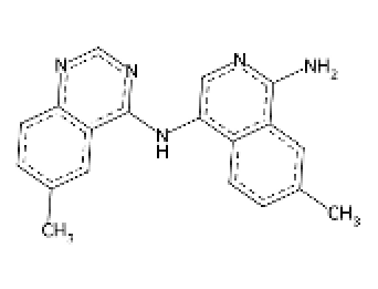 Cc1ccc2ncnc(Nc3cnc(N)c4cc(C)ccc34)c2c1